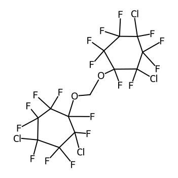 FC1(F)C(F)(F)C(F)(OCOC2(F)C(F)(F)C(F)(F)C(F)(Cl)C(F)(F)C2(F)Cl)C(F)(Cl)C(F)(F)C1(F)Cl